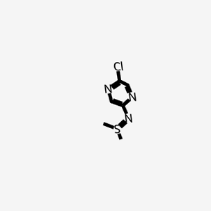 CS(C)=Nc1cnc(Cl)cn1